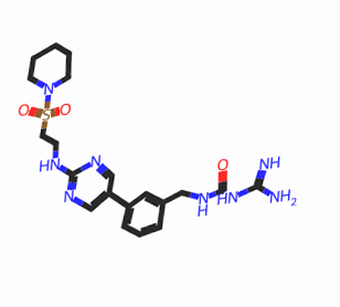 N=C(N)NC(=O)NCc1cccc(-c2cnc(NCCS(=O)(=O)N3CCCCC3)nc2)c1